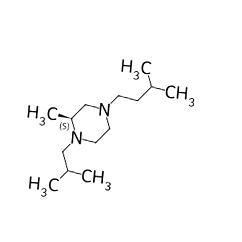 CC(C)CCN1CCN(CC(C)C)[C@@H](C)C1